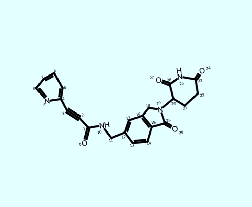 O=C(C#Cc1ccccn1)NCc1ccc2c(c1)CN(C1CCC(=O)NC1=O)C2=O